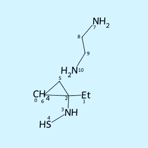 C.CCC1(NS)CC1.NCCN